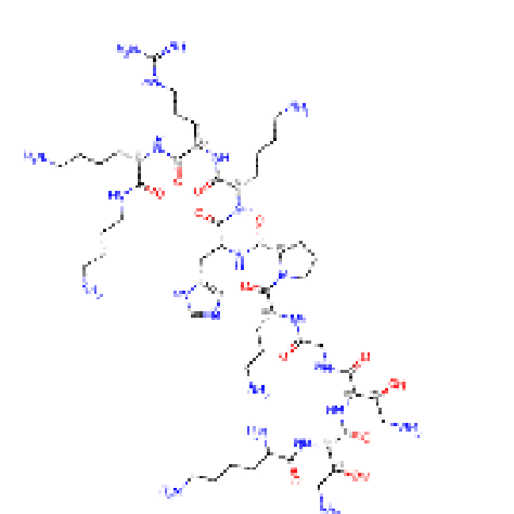 N=C(N)NCCC[C@@H](NC(=O)[C@H](CCCCN)NC(=O)C(Cc1cnc[nH]1)NC(=O)[C@@H]1CCCN1C(=O)[C@@H](CCCN)NC(=O)CNC(=O)[C@@H](NC(=O)[C@@H](NC(=O)C(N)CCCCN)[C@@H](O)CN)[C@@H](O)CN)C(=O)N[C@@H](CCCCN)C(=O)NCCCCN